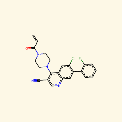 C=CC(=O)N1CCN(c2c(C#N)cnc3cc(-c4ccccc4F)c(Cl)cc23)CC1